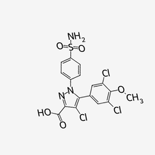 COc1c(Cl)cc(-c2c(Cl)c(C(=O)O)nn2-c2ccc(S(N)(=O)=O)cc2)cc1Cl